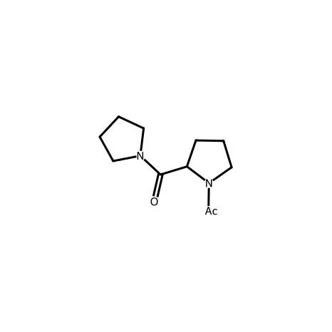 CC(=O)N1CCCC1C(=O)N1CCCC1